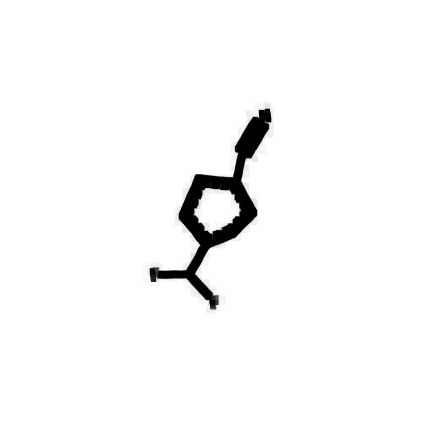 N#Cc1ccc([C](F)F)cc1